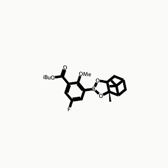 COc1c(B2OC3CC4CC(C4(C)C)[C@]3(C)O2)cc(F)cc1C(=O)OCC(C)C